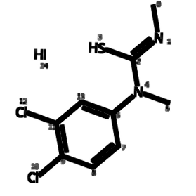 CN=C(S)N(C)c1ccc(Cl)c(Cl)c1.I